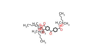 CCCCCC(C)(C)OOC(=O)c1ccc(C(=O)c2ccc(C(=O)OOC(C)(C)CCCCC)c(C(=O)OOC(C)(C)CCCCC)c2)cc1